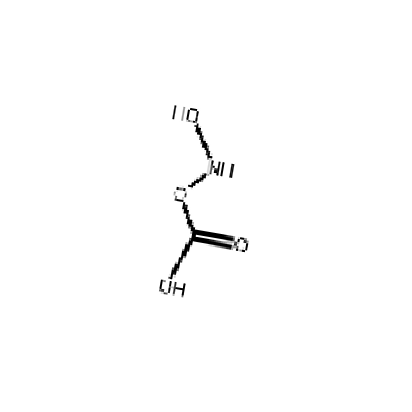 O=C(O)ONO